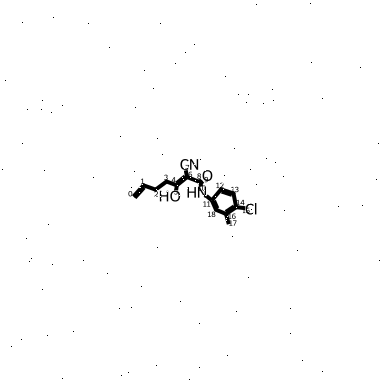 C=CCCC(O)=C(C#N)C(=O)Nc1ccc(Cl)c(C)c1